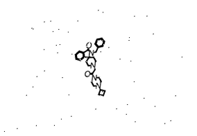 O=C(CN1CCC2(CC1)c1ccccc1C(=O)N2Cc1ccccc1)N1CCN(C2CCC2)CC1